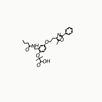 CCCC(=O)NCc1cc(OCCc2nc(-c3ccccc3)oc2C)ccc1OC(C)(C)C(=O)O